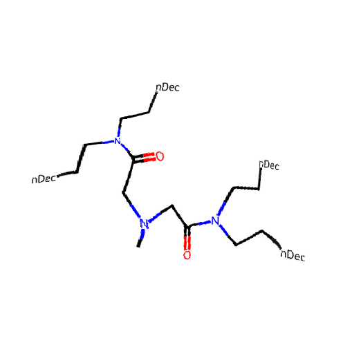 CCCCCCCCCCCCN(CCCCCCCCCCCC)C(=O)CN(C)CC(=O)N(CCCCCCCCCCCC)CCCCCCCCCCCC